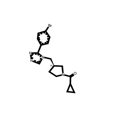 O=C(C1CC1)N1CC[C@@H](Cn2cnnc2-c2ccc(Br)cc2)C1